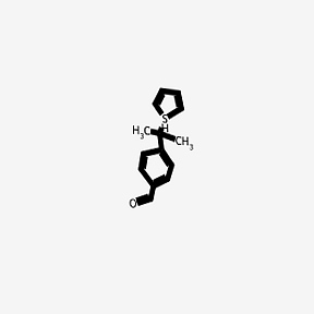 CC(C)(c1ccc(C=O)cc1)[SH]1C=CC=C1